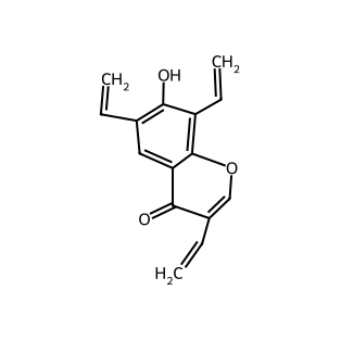 C=Cc1cc2c(=O)c(C=C)coc2c(C=C)c1O